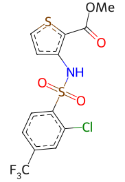 COC(=O)c1sccc1NS(=O)(=O)c1ccc(C(F)(F)F)cc1Cl